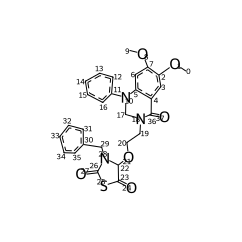 COc1cc2c(cc1OC)N(c1ccccc1)CN(CCOC1C(=O)SC(=O)N1Cc1ccccc1)C2=O